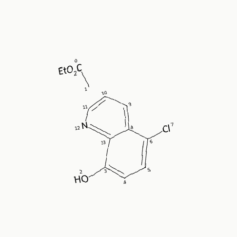 CCOC(C)=O.Oc1ccc(Cl)c2cccnc12